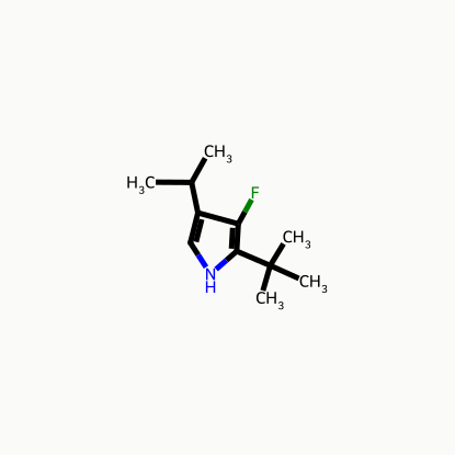 CC(C)c1c[nH]c(C(C)(C)C)c1F